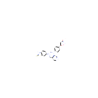 O=C(Nc1ccc(-c2cc(O)no2)cc1)N(Cc1ccncc1)c1ccc2nc(S)sc2c1